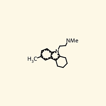 CNCCn1c2c(c3cc(C)ccc31)CCCC2